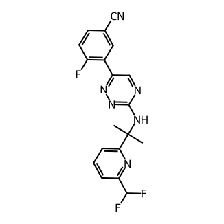 CC(C)(Nc1ncc(-c2cc(C#N)ccc2F)nn1)c1cccc(C(F)F)n1